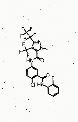 Cn1nc(C(F)(F)C(F)(F)F)c(C(F)(F)F)c1C(=O)Nc1ccc(Cl)c(C(=O)Nc2ccccc2F)c1